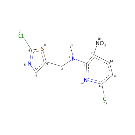 CN(Cc1cnc(Cl)s1)c1nc(Cl)ccc1[N+](=O)[O-]